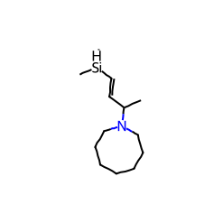 CC(C=C[SiH](C)C)N1CCCCCCC1